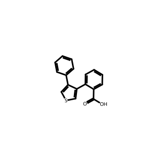 O=C(O)c1ccccc1-c1cscc1-c1ccccc1